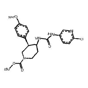 COc1ccc([C@@H]2CN(C(=O)OC(C)(C)C)CCC2NC(=O)Nc2ccc(Cl)nc2)cc1